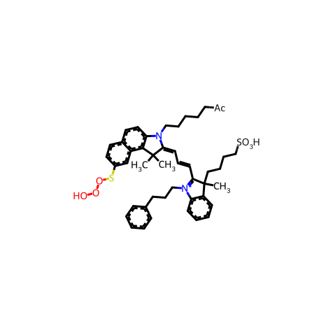 CC(=O)CCCCCN1/C(=C/C=C/C2=[N+](CCCc3ccccc3)c3ccccc3C2(C)CCCCS(=O)(=O)O)C(C)(C)c2c1ccc1ccc(SOOO)cc21